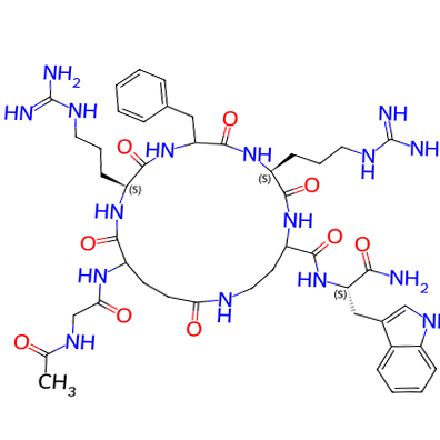 CC(=O)NCC(=O)NC1CCC(=O)NCCC(C(=O)N[C@@H](Cc2c[nH]c3ccccc23)C(N)=O)NC(=O)[C@H](CCCNC(=N)N)NC(=O)C(Cc2ccccc2)NC(=O)[C@H](CCCNC(=N)N)NC1=O